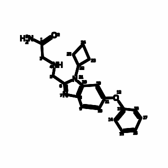 NC(=O)CNCc1nc2ccc(Oc3ccccc3)cc2n1C1CCC1